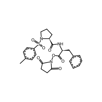 Cc1ccc(S(=O)(=O)N2CCC[C@H]2C(=O)N[C@@H](Cc2ccccc2)C(=O)ON2C(=O)CCC2=O)cc1